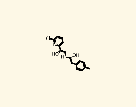 Cc1ccc(C[C@@H](O)NCC(O)c2cccc(Cl)n2)cc1